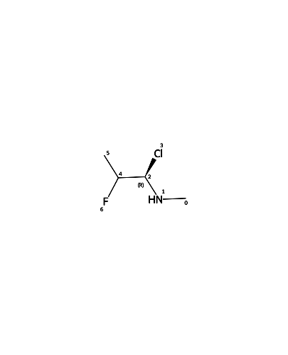 CN[C@H](Cl)C(C)F